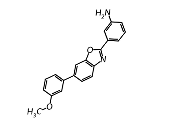 COc1cccc(-c2ccc3nc(-c4cccc(N)c4)oc3c2)c1